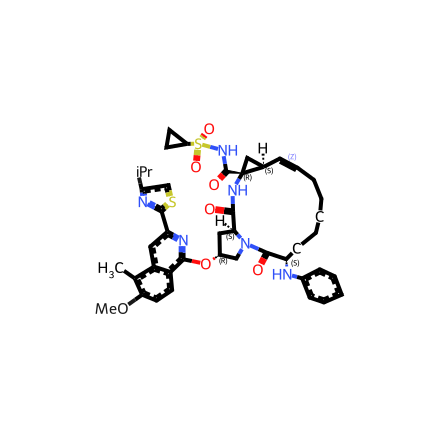 COc1ccc2c(O[C@@H]3C[C@H]4C(=O)N[C@]5(C(=O)NS(=O)(=O)C6CC6)C[C@H]5/C=C\CCCCC[C@H](Nc5ccccc5)C(=O)N4C3)nc(-c3nc(C(C)C)cs3)cc2c1C